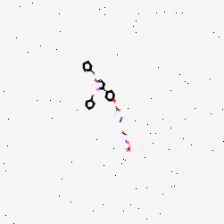 CC(C)(C)OC(=O)NCCOCCNC(=O)COc1ccc(-c2ccc(OCc3ccccc3)nc2OCc2ccccc2)cc1